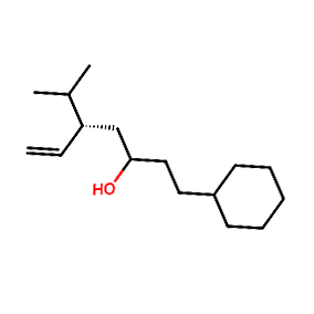 C=C[C@@H](CC(O)CCC1CCCCC1)C(C)C